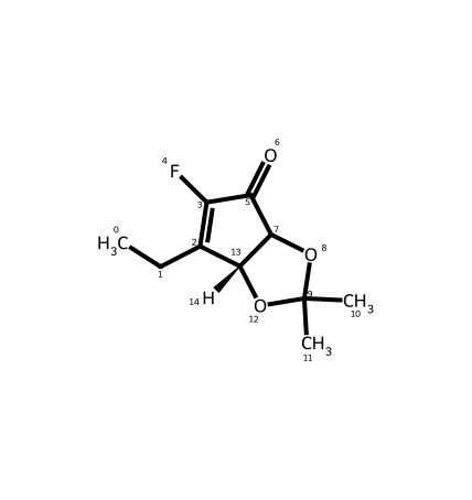 CCC1=C(F)C(=O)C2OC(C)(C)O[C@H]12